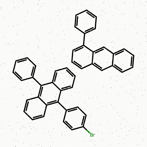 Brc1ccc(-c2c3ccccc3c(-c3ccccc3)c3ccccc23)cc1.c1ccc(-c2cccc3cc4ccccc4cc23)cc1